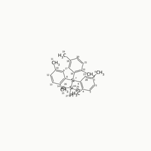 Cc1ccc(C)c([Si](c2cc(C)ccc2C)(c2cc(C)ccc2C)[Si](C(C)C)(C(C)C)C(C)C)c1